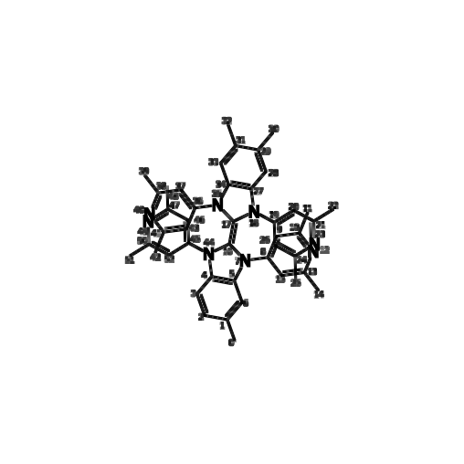 Cc1ccc2c(c1)N(c1cc(C)nc(C)c1)C(=C1N(c3cc(C)nc(C)c3)c3cc(C)c(C)cc3N1c1cc(C)nc(C)c1)N2c1cc(C)nc(C)c1